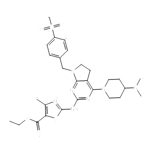 CCOC(=O)c1sc(Nc2nc(N3CCC(N(C)C)CC3)c3c(n2)N(Cc2ccc(S(C)(=O)=O)cc2)CC3)nc1C